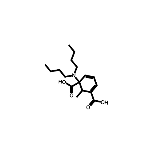 CCCCN(CCCC)C1(C(=O)O)C=CC=C(C(=O)O)C1C